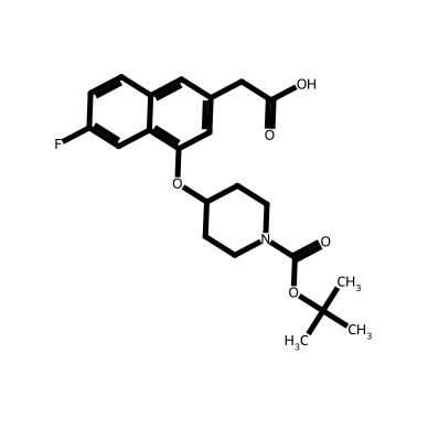 CC(C)(C)OC(=O)N1CCC(Oc2cc(CC(=O)O)cc3ccc(F)cc23)CC1